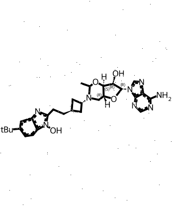 CC1O[C@H]2[C@@H](O)[C@H](n3cnc4c(N)ncnc43)O[C@@H]2CN1[C@H]1C[C@H](CCc2nc3cc(C(C)(C)C)ccc3n2O)C1